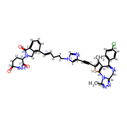 Cc1c(C#Cc2cn(CCC/C=C/c3cccc4c3CN(C3CCC(=O)NC3=O)C4=O)cn2)sc2c1C(c1ccc(Cl)cc1)=NCc1nnc(C)n1-2